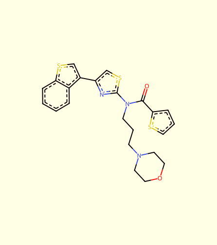 O=C(c1cccs1)N(CCCN1CCOCC1)c1nc(-c2csc3ccccc23)cs1